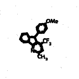 COc1ccc(C2c3ccccc3-c3nc(C)cc(C(F)(F)F)c32)cc1